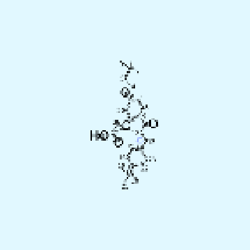 CC(C)=CCOc1ccc(C(=O)/C=C/c2ccc(C(C)(C)C)cc2)c(OCC(=O)O)c1